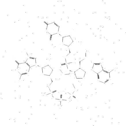 COC[C@@H]1[C@H](OP(=O)([O-])OC[C@H]2O[C@@H](n3ccc(=O)[nH]c3=O)[C@H](O)[C@@H]2O)[C@@H](COP(=O)(O)OP(=O)(O)OP(=O)(O)OC[C@H]2O[C@@H](n3c[n+](C)c4c(=O)[nH]c(N)nc43)[C@H](O)[C@@H]2COC)O[C@H]1n1cnc2c(N)ncnc21